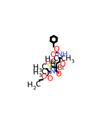 C=CCOC(=O)[C@@H]1N2C(=O)[C@@](Br)(C(O)C(=O)C(C)(C)NC(=O)OCc3ccccc3)[C@H]2SC1(C)C